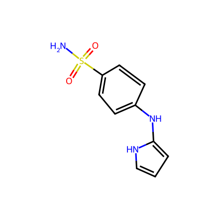 NS(=O)(=O)c1ccc(Nc2ccc[nH]2)cc1